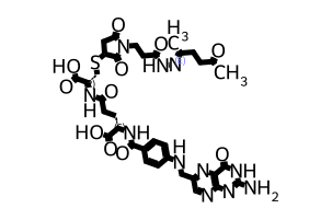 CC(=O)CC/C(C)=N/NC(=O)CCN1C(=O)CC(SC[C@H](NC(=O)CC[C@H](NC(=O)c2ccc(NCc3cnc4nc(N)[nH]c(=O)c4n3)cc2)C(=O)O)C(=O)O)C1=O